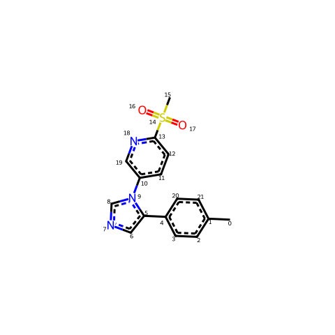 Cc1ccc(-c2cncn2-c2ccc(S(C)(=O)=O)nc2)cc1